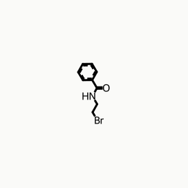 O=C(NCCBr)c1ccccc1